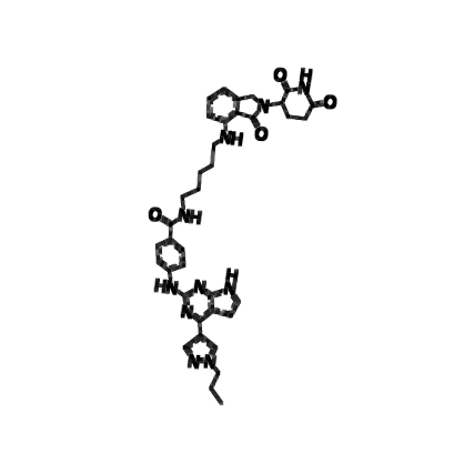 CCCn1cc(-c2nc(Nc3ccc(C(=O)NCCCCCNc4cccc5c4C(=O)N(C4CCC(=O)NC4=O)C5)cc3)nc3[nH]ccc23)cn1